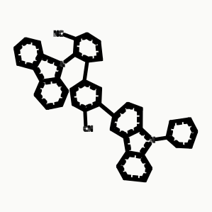 N#Cc1ccc(-c2cccc(C#N)c2-n2c3ccccc3c3ccccc32)cc1-c1ccc2c(c1)c1ccccc1n2-c1ccccc1